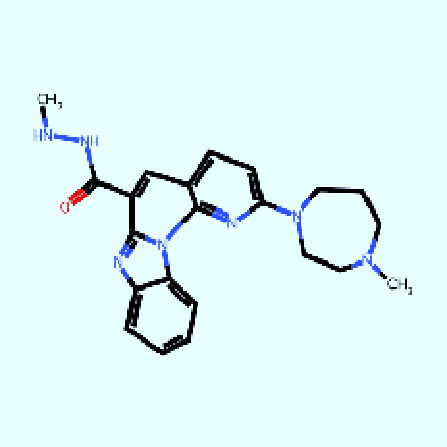 CNNC(=O)c1cc2ccc(N3CCCN(C)CC3)nc2n2c1nc1ccccc12